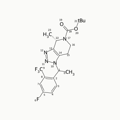 CC(c1ccc(F)cc1C(F)(F)F)n1nnc2c1CCN(C(=O)OC(C)(C)C)[C@H]2C